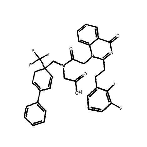 O=C(O)CN(CC1(C(F)(F)F)C=CC(c2ccccc2)=CC1)C(=O)Cn1c(CCc2cccc(F)c2F)nc(=O)c2ccccc21